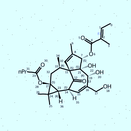 C/C=C(\C)C(=O)O[C@H]1C(C)=C[C@]23C(=O)[C@@H](C=C(CO)[C@@H](O)[C@]12O)[C@@H]1C(C)(C)[C@]1(OC(=O)CCC)C[C@H]3C